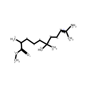 COC(=O)C(C)CCCC(C)(O)CC/C=C(\C)N